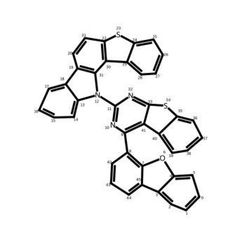 c1ccc2c(c1)oc1c(-c3nc(-n4c5ccccc5c5ccc6sc7ccccc7c6c54)nc4sc5ccccc5c34)cccc12